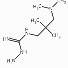 CN(C)CC(C)(C)CNC(=N)NN